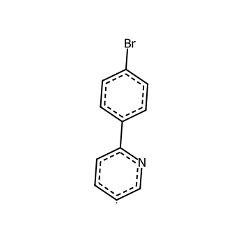 Brc1ccc(-c2cc[c]cn2)cc1